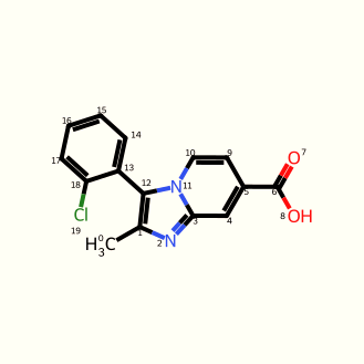 Cc1nc2cc(C(=O)O)ccn2c1-c1ccccc1Cl